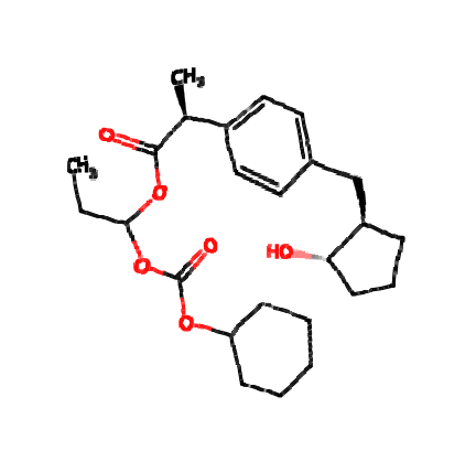 CCC(OC(=O)OC1CCCCC1)OC(=O)[C@@H](C)c1ccc(C[C@H]2CCC[C@@H]2O)cc1